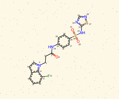 O=C(CCn1ccc2cccc(F)c21)Nc1ccc(S(=O)(=O)Nc2ncns2)cc1